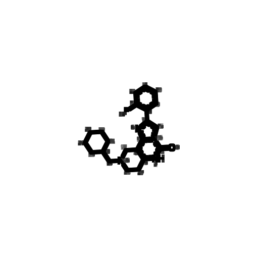 O=c1[nH]c2c(c3nc(-c4ccccc4F)cn13)CN(CC1CCCCC1)CC2